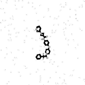 O=C(Nc1ccc(OC2CCN(C(=O)C(F)(F)c3ccccc3)CC2)cc1)C1CN(c2cccnn2)C1